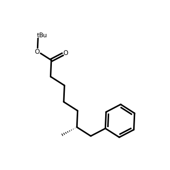 C[C@H](CCCCC(=O)OC(C)(C)C)Cc1ccccc1